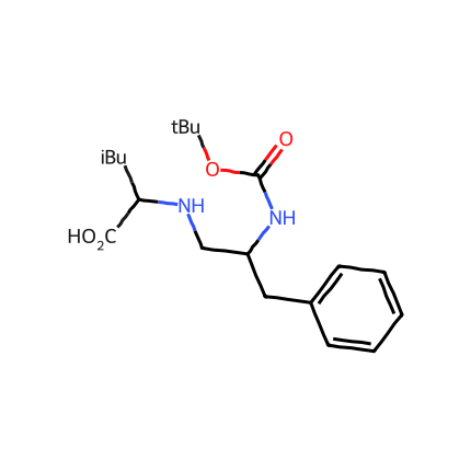 CCC(C)C(NCC(Cc1ccccc1)NC(=O)OC(C)(C)C)C(=O)O